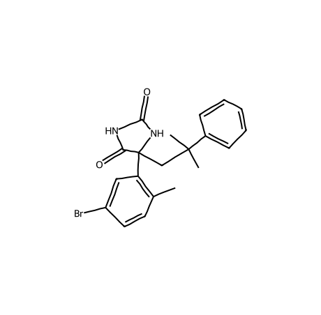 Cc1ccc(Br)cc1C1(CC(C)(C)c2ccccc2)NC(=O)NC1=O